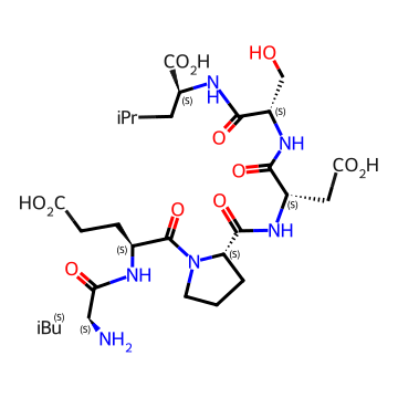 CC[C@H](C)[C@H](N)C(=O)N[C@@H](CCC(=O)O)C(=O)N1CCC[C@H]1C(=O)N[C@@H](CC(=O)O)C(=O)N[C@@H](CO)C(=O)N[C@@H](CC(C)C)C(=O)O